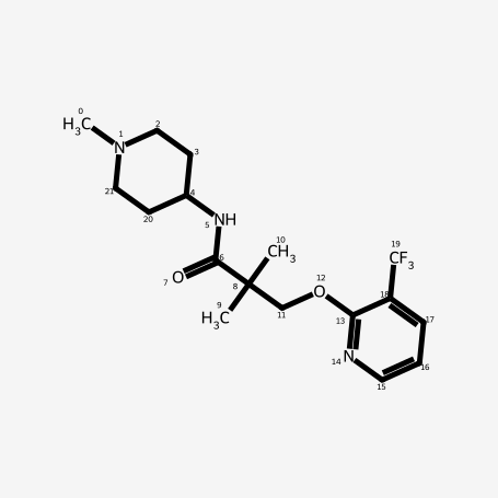 CN1CCC(NC(=O)C(C)(C)COc2ncccc2C(F)(F)F)CC1